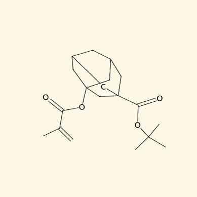 C=C(C)C(=O)OC12CC3CC(C1)CC(C(=O)OC(C)(C)C)(C3)C2